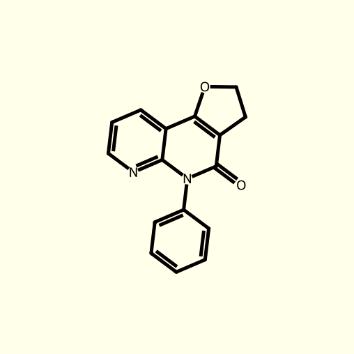 O=c1c2c(c3cccnc3n1-c1ccccc1)OCC2